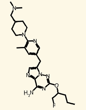 CCCC(CF)Oc1nc(N)c2ncc(Cc3cnc(N4CCC(CN(C)C)CC4)c(C)c3)n2n1